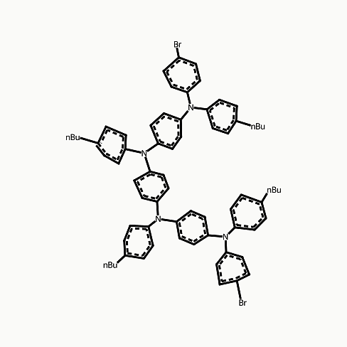 CCCCc1ccc(N(c2ccc(Br)cc2)c2ccc(N(c3ccc(CCCC)cc3)c3ccc(N(c4ccc(CCCC)cc4)c4ccc(N(c5ccc(Br)cc5)c5ccc(CCCC)cc5)cc4)cc3)cc2)cc1